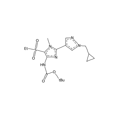 CCS(=O)(=O)c1c(NC(=O)OC(C)(C)C)nc(-c2cnn(CC3CC3)c2)n1C